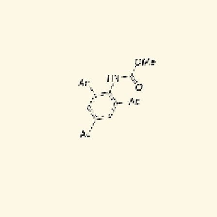 [CH2]OC(=O)Nc1c(C(C)=O)cc(C(C)=O)cc1C(C)=O